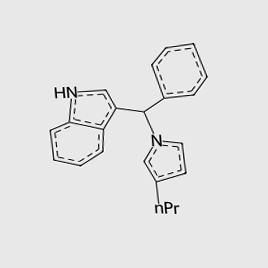 CCCc1ccn(C(c2ccccc2)c2c[nH]c3ccccc23)c1